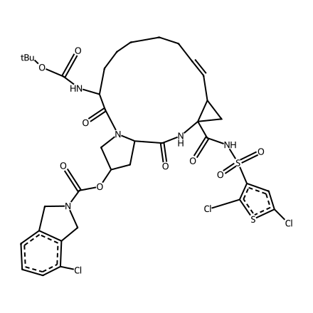 CC(C)(C)OC(=O)NC1CCCCC/C=C\C2CC2(C(=O)NS(=O)(=O)c2cc(Cl)sc2Cl)NC(=O)C2CC(OC(=O)N3Cc4cccc(Cl)c4C3)CN2C1=O